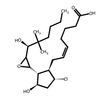 CCCCC(C)(C)[C@H](O)C1OC1[C@@H]1[C@@H](C/C=C\CCCC(=O)O)[C@H](Cl)C[C@H]1O